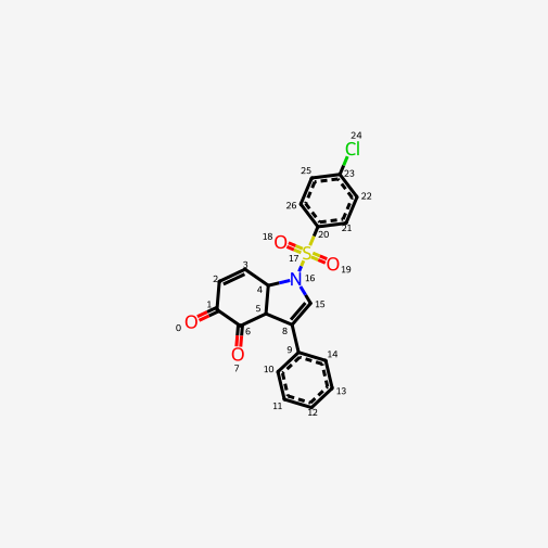 O=C1C=CC2C(C1=O)C(c1ccccc1)=CN2S(=O)(=O)c1ccc(Cl)cc1